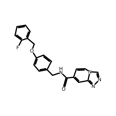 O=C(NCc1ccc(OCc2ccccc2F)cc1)c1ccn2cnnc2c1